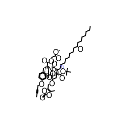 CC#CCOc1ccc(C[C@H](NC(=O)[C@@H](/C=C/CCCCCCC(=O)CCCCCCC)[C@@](O)(CC(=O)OCc2oc(=O)oc2C)C(=O)OC(C)(C)C)C(=O)OCC(=O)OC)cc1